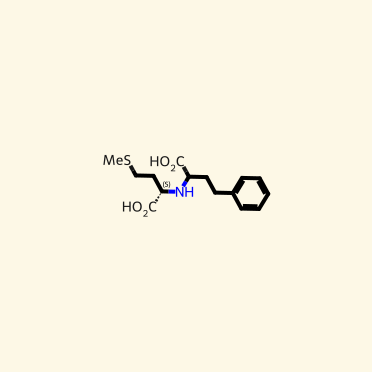 CSCC[C@H](NC(CCc1ccccc1)C(=O)O)C(=O)O